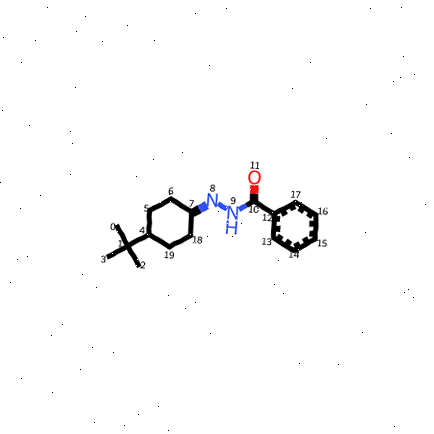 CC(C)(C)C1CCC(=NNC(=O)c2ccccc2)CC1